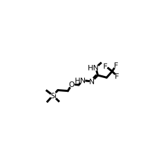 CN/C(CC(F)(F)F)=N\NCOCC[Si](C)(C)C